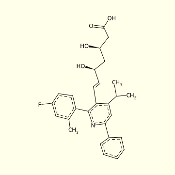 Cc1cc(F)ccc1-c1nc(-c2ccccc2)cc(C(C)C)c1C=C[C@@H](O)C[C@@H](O)CC(=O)O